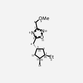 CC[C@@H]1C[C@@H](Cc2nc(COC)no2)C[C@@H]1C